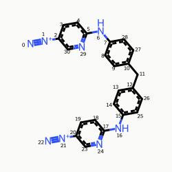 N#[N+]c1ccc(Nc2ccc(Cc3ccc(Nc4ccc([N+]#N)cn4)cc3)cc2)nc1